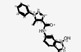 Cc1c(C(=O)Nc2ccc3c(c2)B(O)OC3C)nnn1-c1ccccc1